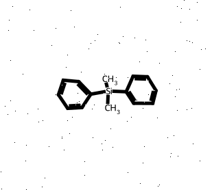 C[Si](C)(c1cc[c]cc1)c1ccccc1